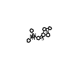 c1ccc(-c2nc(-c3ccccc3)nc(-c3ccc4sc5ccc(-c6cccc7c8ccccc8n(-c8ccccc8)c67)cc5c4c3)n2)cc1